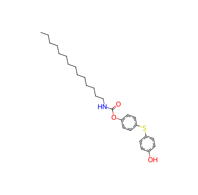 CCCCCCCCCCCCCCNC(=O)Oc1ccc(Sc2ccc(O)cc2)cc1